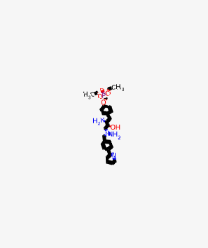 CCOP(=O)(COc1ccc(C[C@H](N)[C@@H](O)CN(N)Cc2ccc(-c3ccccn3)cc2)cc1)OCC